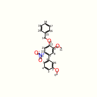 COc1cccc(-c2cc(OC)c(OCc3ccccc3)cc2[N+](=O)[O-])c1